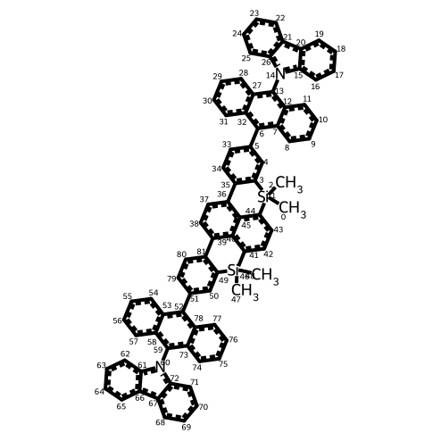 C[Si]1(C)c2cc(-c3c4ccccc4c(-n4c5ccccc5c5ccccc54)c4ccccc34)ccc2-c2ccc3c4c(ccc1c24)[Si](C)(C)c1cc(-c2c4ccccc4c(-n4c5ccccc5c5ccccc54)c4ccccc24)ccc1-3